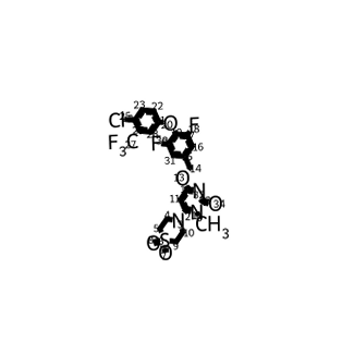 Cn1c(N2CCS(=O)(=O)CC2)cc(OCc2cc(F)c(Oc3ccc(Cl)c(C(F)(F)F)c3)c(F)c2)nc1=O